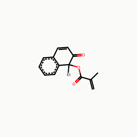 C=C(C)C(=O)OC1(CC)C(=O)C=Cc2ccccc21